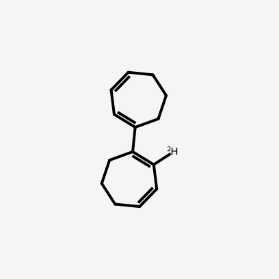 [2H]C1=C(C2=CC=CCCC2)CCCC=C1